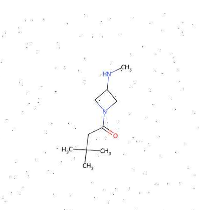 CNC1CN(C(=O)CC(C)(C)C)C1